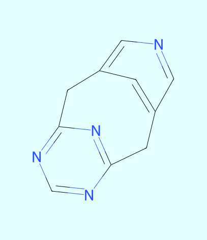 c1nc2nc(n1)Cc1cncc(c1)C2